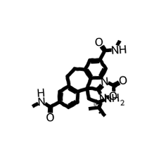 CNC(=O)c1ccc2c(c1)CCc1cc(C(=O)NC)ccc1C2(C[C@@H](C)N)c1nc(=O)on1C(C)C